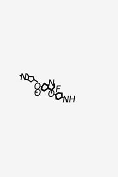 CNc1ccc(Oc2ccnc3cc(OCC4CC5CN(C)CC5C4)c(OC)cc23)c(F)c1